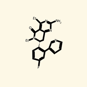 CCc1nc(N)nc2c1C(=O)N(CC)[C@@H](c1ccc(F)cc1-c1cccnc1)C2